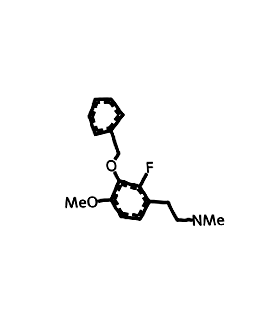 CNCCc1ccc(OC)c(OCc2ccccc2)c1F